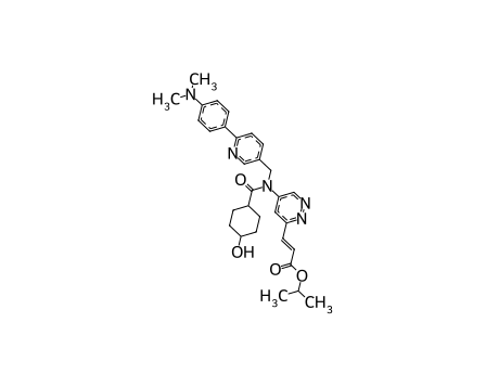 CC(C)OC(=O)/C=C/c1cc(N(Cc2ccc(-c3ccc(N(C)C)cc3)nc2)C(=O)C2CCC(O)CC2)cnn1